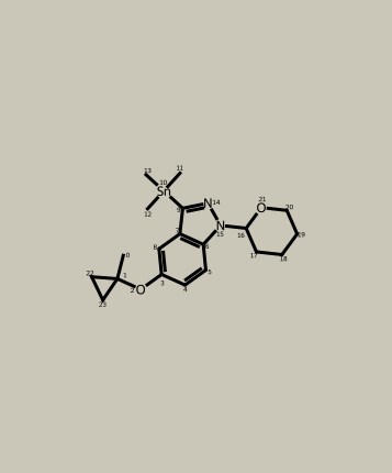 CC1(Oc2ccc3c(c2)[c]([Sn]([CH3])([CH3])[CH3])nn3C2CCCCO2)CC1